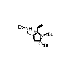 C=C[C@@H]1[C@@H](CNCC)C[C@@H](C(C)(C)C)N1C(C)(C)C